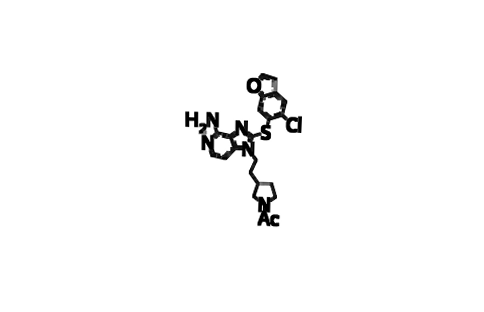 CC(=O)N1CCC(CCn2c(Sc3cc4occc4cc3Cl)nc3c(N)nccc32)C1